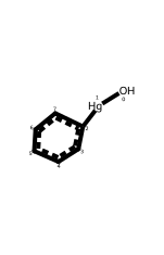 [OH][Hg][c]1ccccc1